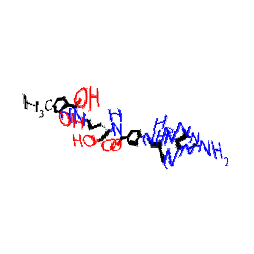 Cc1ccc(C(O)NCCC[C@H](NC(=O)c2ccc(NCc3cnc4nc(N)nc(N)c4n3)cc2)C(=O)O)c(O)c1